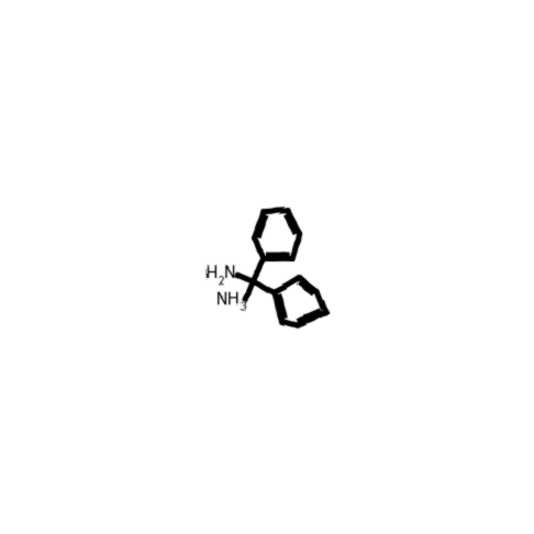 CC(N)(c1ccccc1)c1ccccc1.N